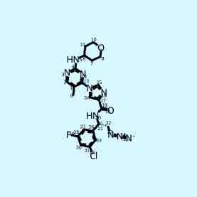 Cc1cnc(NC2CCOCC2)nc1-n1cnc(C(=O)N[C@H](CN=[N+]=[N-])c2cc(F)cc(Cl)c2)c1